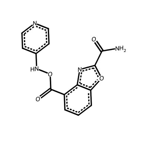 NC(=O)c1nc2c(C(=O)ONc3ccncc3)cccc2o1